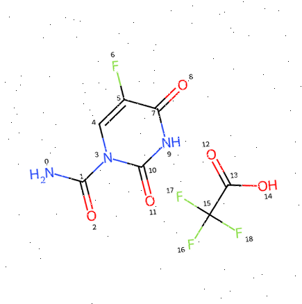 NC(=O)n1cc(F)c(=O)[nH]c1=O.O=C(O)C(F)(F)F